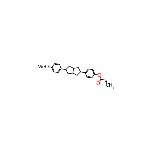 C=CC(=O)Oc1ccc(C2CC3CC(c4ccc(OC)cc4)CC3C2)cc1